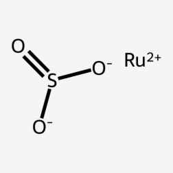 O=S([O-])[O-].[Ru+2]